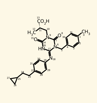 Cc1ccc(Cn2c(=O)n(C[C@H](C)C(=O)O)c(=O)[nH]/c2=N\c2ccc(CCC3CC3)cc2)cc1